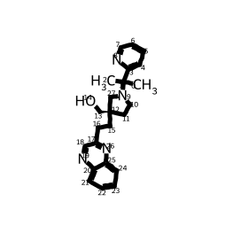 CC(C)(c1ccccn1)N1CC[C@](CO)(CCc2cnc3ccccc3n2)C1